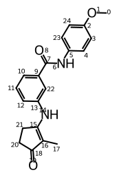 COc1ccc(NC(=O)c2cccc(NC3=C(C)C(=O)CC3)c2)cc1